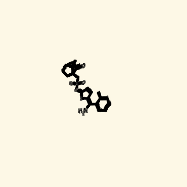 Cc1ccccc1/C(N)=C1C=C/C(=N\S(=O)(=O)CC23CCC(CC2=O)C3(C)C)S\1